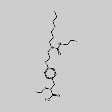 CCCNC(=O)N(CCCOCCC)CCOc1ccc(CC(OCC)C(=O)O)cc1